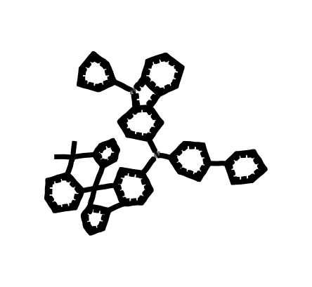 CC1(C)c2ccccc2C2(c3ccccc3-c3ccc(N(c4ccc(-c5ccccc5)cc4)c4ccc5c(c4)c4ccccc4n5-c4ccccc4)cc32)c2ccccc21